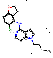 CCCCn1ccc2c(Nc3c(Cl)ccc4c3CCO4)nccc21